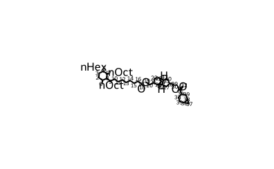 CCCCCCCCC1CCC(CCCCCC)C(CCCCCCCC)C1CCCCCCCCC(=O)OCC1CC2CC1[C@H]1CC(COC(=O)C3CCC4CC4C3)C[C@@H]21